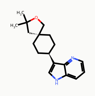 CC1(C)C[C@]2(CC[C@H](c3c[nH]c4cccnc43)CC2)CO1